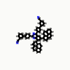 CC12C=CC=C3C=CC4C(=C31)C(=CC2)C=CC4c1cc(-c2ccc3ccc4cccc5ccc2c3c45)cc2c(-c3ccc(-c4cccc(C#N)c4)cc3)nc(C3=CC=C(c4cccc(C#N)c4)CC3)nc12